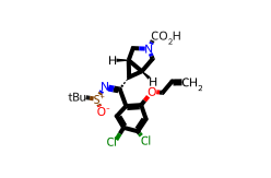 C=CCOc1cc(Cl)c(Cl)cc1C(=N[S+]([O-])C(C)(C)C)[C@@H]1[C@@H]2CN(C(=O)O)C[C@@H]21